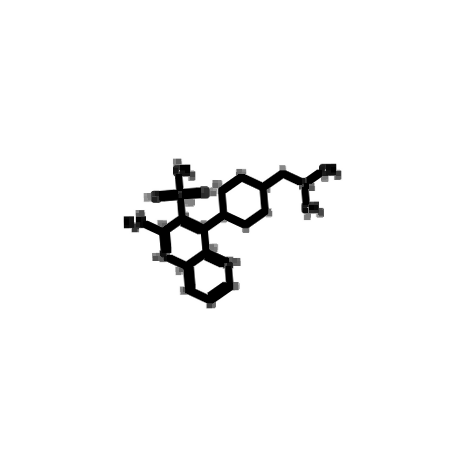 CN(C)CC1CCC(c2c(S(C)(=O)=O)c(N)nc3cccnc23)CC1